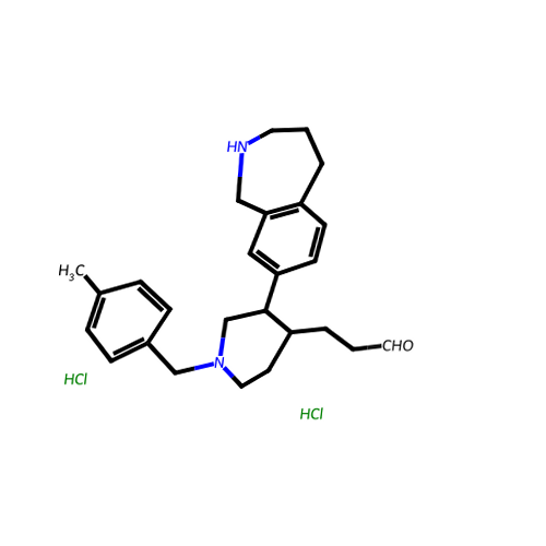 Cc1ccc(CN2CCC(CCC=O)C(c3ccc4c(c3)CNCCC4)C2)cc1.Cl.Cl